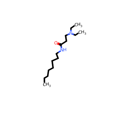 CCCCCCCCNC(=O)CCN(CC)CC